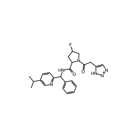 CC(C)c1ccc(C(NC(=O)C2CC(F)CN2C(=O)Cc2cnn[nH]2)c2ccccc2)nc1